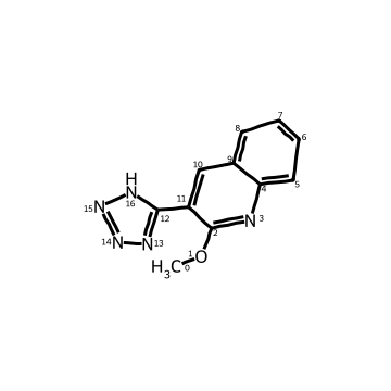 COc1nc2ccccc2cc1-c1nnn[nH]1